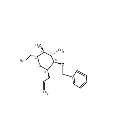 C=CC[C@H]1O[C@H](CC)[C@@H](C)[C@H](C)[C@H]1OCc1ccccc1